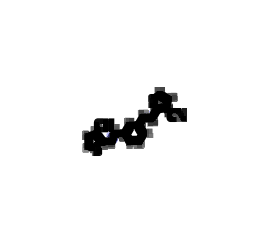 N#Cc1ccsc1/C=C/c1cccc(/C=C/c2sccc2C#N)c1